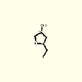 O[C@@H]1COC(CI)C1